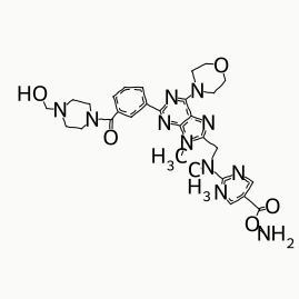 CN(Cc1nc2c(N3CCOCC3)nc(-c3cccc(C(=O)N4CCN(CO)CC4)c3)nc2n1C)c1ncc(C(=O)ON)cn1